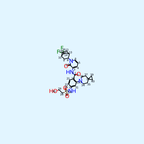 O=C(Nc1cccn(C2CC3CCC2CC3(F)F)c1=O)c1ccc(NS(=O)(=O)CCO)cc1N1CCC2(CC1)CC2